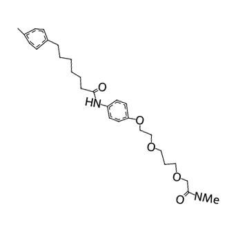 CNC(=O)COCCCOCCOc1ccc(NC(=O)CCCCCCc2ccc(C)cc2)cc1